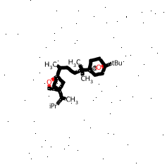 CC(C)C(C)C12COC(C(C)CCC(C)(C)C34CCC(C(C)(C)C)(CC3)OC4)(C1)C2